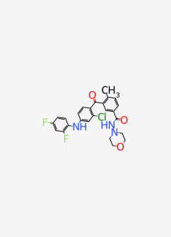 Cc1ccc(C(=O)NN2CCOCC2)cc1C(=O)c1ccc(Nc2ccc(F)cc2F)cc1Cl